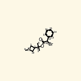 CN1CC(C(C)(C)OC(=O)C(Br)c2ccccc2)C1